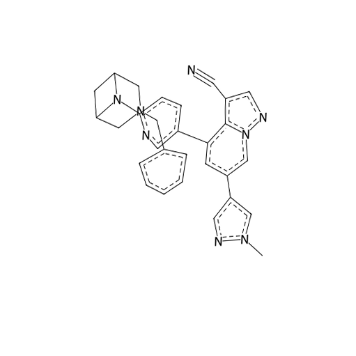 Cn1cc(-c2cc(-c3ccc(N4C5CC4CN(Cc4ccccc4)C5)nc3)c3c(C#N)cnn3c2)cn1